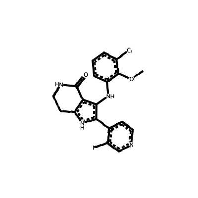 COc1c(Cl)cccc1Nc1c(-c2ccncc2I)[nH]c2c1C(=O)NCC2